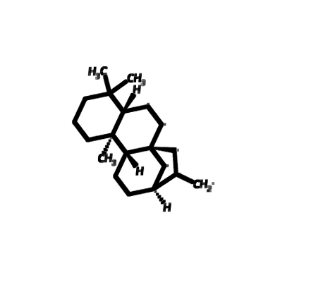 [CH2][C]1[CH][C@]23[CH][CH][C@H]4C(C)(C)CCC[C@]4(C)[C@H]2CC[C@H]1[CH]3